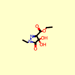 CCOC(=O)C1=NN(CC)C(=O)C1(O)O